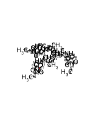 CCCCN1C(=O)c2cccc3c(NC(C)COCC(CC)(COCC(C)OCC(C)Nc4ccc5c6c(cccc46)C(=O)N(CCCC)C5=O)COCC(C)OCC(C)Nc4ccc5c6c(cccc46)C(=O)N(CCCC)C5=O)ccc(c23)C1=O